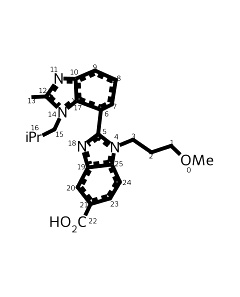 COCCCn1c(-c2cccc3nc(C)n(CC(C)C)c23)nc2cc(C(=O)O)ccc21